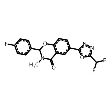 CN1C(=O)c2cc(-c3nnc(C(F)F)o3)ccc2OC1c1ccc(F)cc1